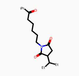 CCC(CC)C1CC(=O)N(CCCCCC(=O)C(C)C)C1=O